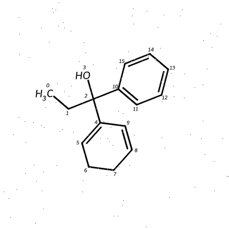 CCC(O)(C1=CCCC=C1)c1ccccc1